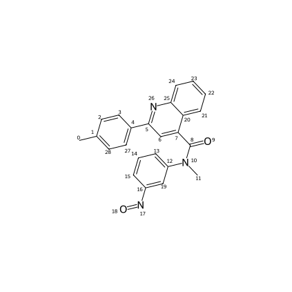 Cc1ccc(-c2cc(C(=O)N(C)c3cccc(N=O)c3)c3ccccc3n2)cc1